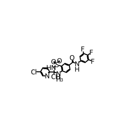 CC1(c2ccc(Cl)cn2)Nc2ccc(C(=O)Nc3cc(F)c(F)c(F)c3)cc2S(=O)(=O)N1